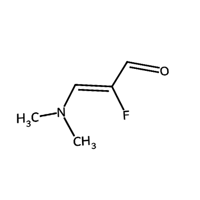 CN(C)/C=C(\F)C=O